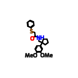 COc1ccc(C2(CNC(=O)CSc3ccccc3)CCCC2)cc1OC